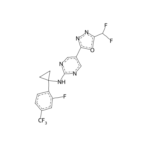 Fc1cc(C(F)(F)F)ccc1C1(Nc2ncc(-c3nnc(C(F)F)o3)cn2)CC1